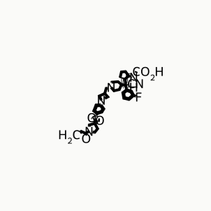 C=CC(=O)N1CCC(S(=O)(=O)c2ccc(N3CC(CN4CCC([C@@](C#N)(c5cccc(F)c5)[C@H]5CCC[C@@H]5NC(=O)O)CC4)C3)cc2)C1